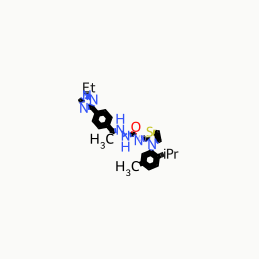 CCn1cnc(-c2ccc(C(C)NNC(=O)/N=c3\sccn3-c3cc(C)ccc3C(C)C)cc2)n1